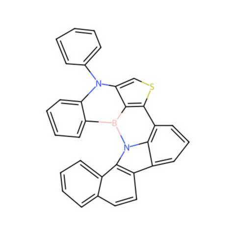 c1ccc(N2c3ccccc3B3c4c2csc4-c2cccc4c5ccc6ccccc6c5n3c24)cc1